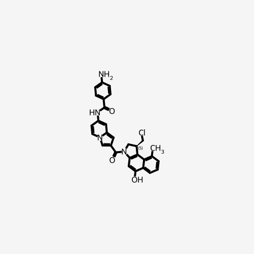 Cc1cccc2c(O)cc3c(c12)[C@H](CCl)CN3C(=O)c1cc2cc(NC(=O)c3ccc(N)cc3)ccn2c1